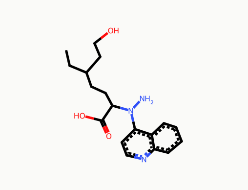 CCC(CCO)CCC(C(=O)O)N(N)c1ccnc2ccccc12